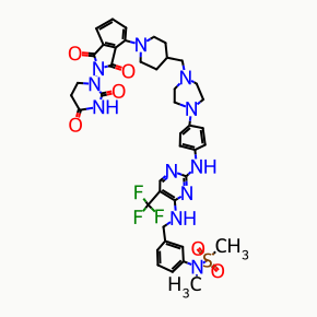 CN(c1cccc(CNc2nc(Nc3ccc(N4CCN(CC5CCN(c6cccc7c6C(=O)N(N6CCC(=O)NC6=O)C7=O)CC5)CC4)cc3)ncc2C(F)(F)F)c1)S(C)(=O)=O